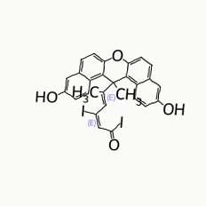 C/C(=C\C(I)=C/C(=O)I)C1(C)c2c(ccc3cc(O)ccc23)Oc2ccc3cc(O)ccc3c21